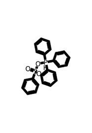 O=S(=O)(O[PH](c1ccccc1)(c1ccccc1)c1ccccc1)c1ccccc1